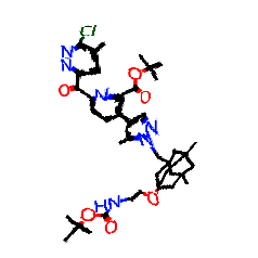 Cc1cc(C(=O)c2ccc(-c3cnn(CC45CC6(C)CC(C)(C4)CC(OCCNC(=O)OC(C)(C)C)(C6)C5)c3C)c(C(=O)OC(C)(C)C)n2)nnc1Cl